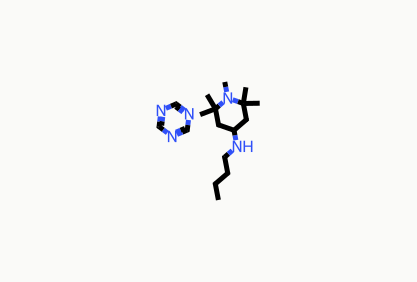 CCCCNC1CC(C)(C)N(C)C(C)(C)C1.c1ncncn1